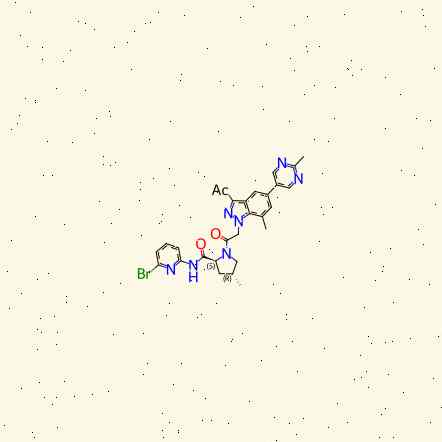 CC(=O)c1nn(CC(=O)N2C[C@H](C)C[C@H]2C(=O)Nc2cccc(Br)n2)c2c(C)cc(-c3cnc(C)nc3)cc12